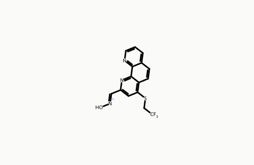 O/N=C/c1cc(SCC(F)(F)F)c2ccc3cccnc3c2n1